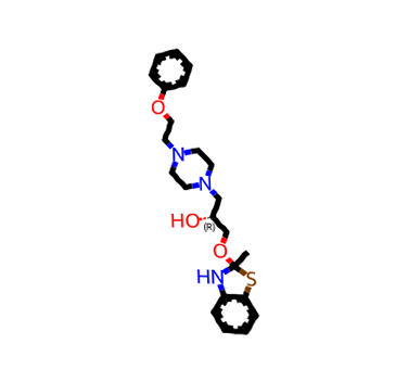 CC1(OC[C@H](O)CN2CCN(CCOc3ccccc3)CC2)Nc2ccccc2S1